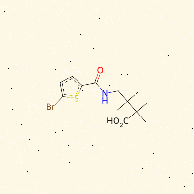 CC(C)(CNC(=O)c1ccc(Br)s1)C(C)(C)C(=O)O